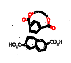 O=C(O)c1ccc2cc(C(=O)O)ccc2c1.O=C1OCCCOC(=O)c2ccc1cc2